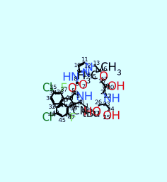 CC(C)(C)C[C@@H]1N[C@H](OC(=O)Nc2ccn(CC(C)(C)OC[C@H](O)CNC(CO)CO)n2)[C@H](c2cccc(Cl)c2F)[C@@]1(C#N)c1ccc(Cl)cc1F